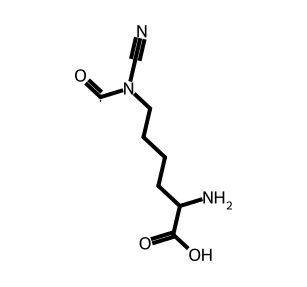 N#CN([C]=O)CCCCC(N)C(=O)O